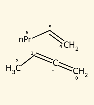 C=C=CC.C=CCCC